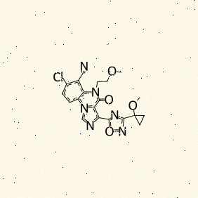 COCCn1c(=O)c2c(-c3nc(C4(OC)CC4)no3)ncn2c2ccc(Cl)c(C#N)c21